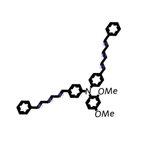 COc1ccc(N(c2ccc(/C=C/C=C/C=C/c3ccccc3)cc2)c2ccc(/C=C/C=C/C=C/c3ccccc3)cc2)c(OC)c1